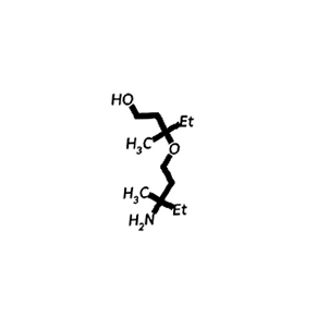 CCC(C)(N)CCOC(C)(CC)CCO